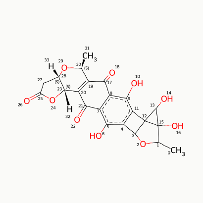 CC1OC2c3c(O)c4c(c(O)c3C23C(O)C13O)C(=O)C1=C(C4=O)[C@@H]2OC(=O)C[C@@H]2O[C@H]1C